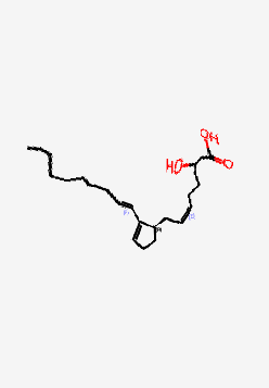 CCCCCC/C=C/C1=CCC[C@@H]1C/C=C\CCC(O)C(=O)O